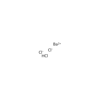 Cl.[Ba+2].[Cl-].[Cl-]